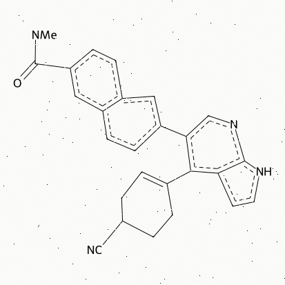 CNC(=O)c1ccc2cc(-c3cnc4[nH]ccc4c3C3=CCC(C#N)CC3)ccc2c1